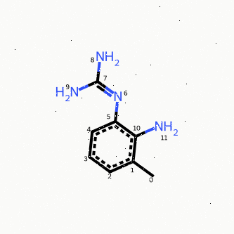 Cc1cccc(N=C(N)N)c1N